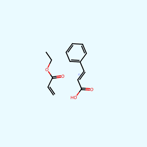 C=CC(=O)OCC.O=C(O)/C=C/c1ccccc1